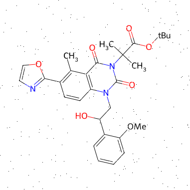 COc1ccccc1C(O)Cn1c(=O)n(C(C)(C)C(=O)OC(C)(C)C)c(=O)c2c(C)c(-c3ncco3)ccc21